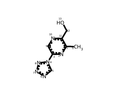 Cc1nc(-n2cnnn2)cnc1CO